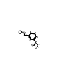 O=S=[C]c1cccc(SC(F)(F)F)c1